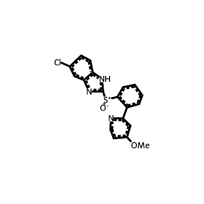 COc1ccnc(-c2ccccc2[S+]([O-])c2nc3cc(Cl)ccc3[nH]2)c1